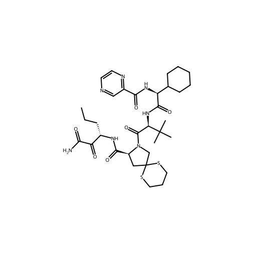 CCC[C@H](NC(=O)[C@@H]1CC2(CN1C(=O)[C@@H](NC(=O)[C@@H](NC(=O)c1cnccn1)C1CCCCC1)C(C)(C)C)SCCCS2)C(=O)C(N)=O